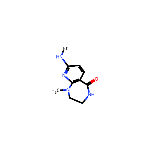 CCNc1ccc2c(n1)N(C)CCNC2=O